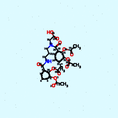 CC(=O)Oc1cccc(C(=O)NCCCN(CC(=O)O)C(=O)c2cccc(OC(C)=O)c2OC(C)=O)c1OC(C)=O